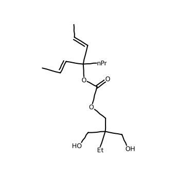 CC=CC(C=CC)(CCC)OC(=O)OCC(CC)(CO)CO